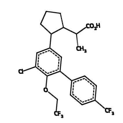 CC(C(=O)O)C1CCCC1c1cc(Cl)c(OCC(F)(F)F)c(-c2ccc(C(F)(F)F)cc2)c1